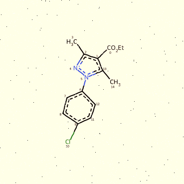 CCOC(=O)c1c(C)nn(-c2ccc(Cl)cc2)c1C